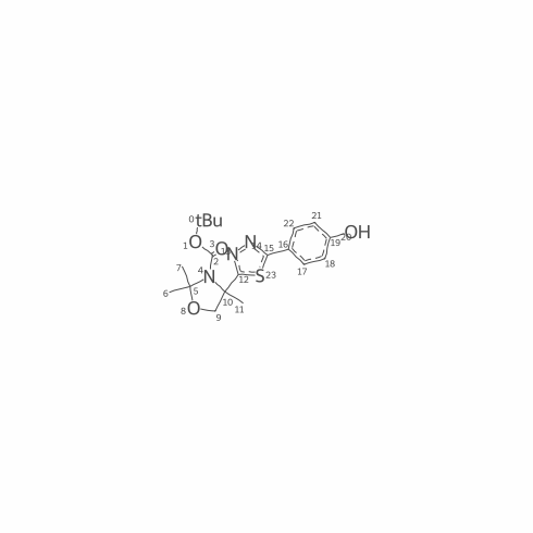 CC(C)(C)OC(=O)N1C(C)(C)OCC1(C)c1nnc(-c2ccc(O)cc2)s1